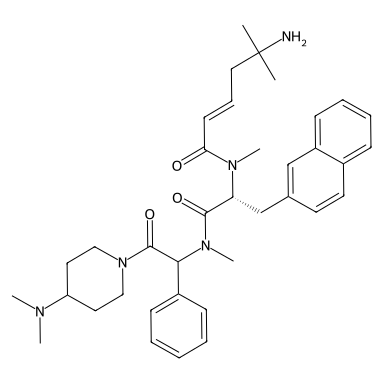 CN(C)C1CCN(C(=O)C(c2ccccc2)N(C)C(=O)[C@@H](Cc2ccc3ccccc3c2)N(C)C(=O)/C=C/CC(C)(C)N)CC1